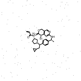 C=CC(=O)N[C@H]1CCN(C(CC2CC2)c2ccc([C@H](C)Nc3ncc4c(n3)N(CC)C(=O)OC4)cc2)C1